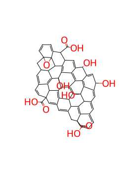 O=C(O)C1C2=CC=CC34CC5C=C6C=CC7(C(=O)O)C=C8C=C9CC%10(C(=O)O)C=CC=C%11C=C%12C=C%13C%14=C%15C(=CC%13O)C(O)C%13=CC1C1=C%16C%13=C%15C%13=C%15C(C8=C8C7C6=C(C5C1C23O4)C%16(O)C%138)C9C(=C%11%10)C%12C%14%15O